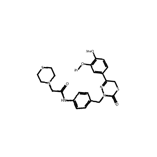 COc1ccc(C2=NN(Cc3ccc(NC(=O)CN4CCSCC4)cc3)C(=O)SC2)cc1OC(C)C